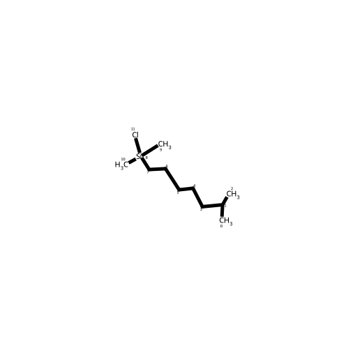 CC(C)CCCCC[Si](C)(C)Cl